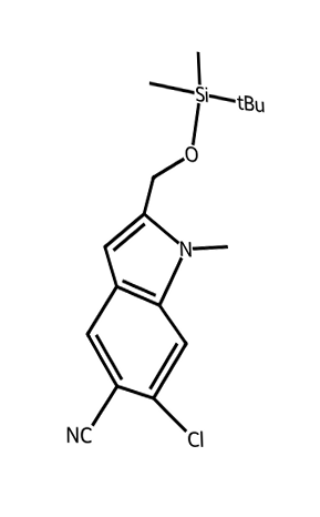 Cn1c(CO[Si](C)(C)C(C)(C)C)cc2cc(C#N)c(Cl)cc21